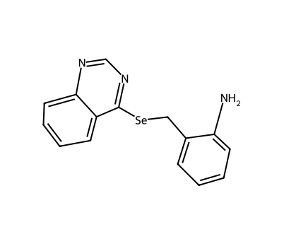 Nc1ccccc1C[Se]c1ncnc2ccccc12